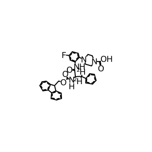 [2H]C([2H])(c1ccccc1)C(NC(=O)OCC1c2ccccc2-c2ccccc21)C(=O)Nc1cc(F)ccc1N1CCN(C(=O)O)CC1